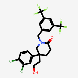 O=C1CCC(CCO)(c2ccc(Cl)c(Cl)c2)CN1Cc1cc(C(F)(F)F)cc(C(F)(F)F)c1